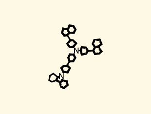 c1ccc2c(-c3ccc(N(c4ccc(-c5ccc(-n6c7c(c8ccccc86)CCCC7)cc5)cc4)c4ccc(-c5cccc6ccccc56)cc4)cc3)cccc2c1